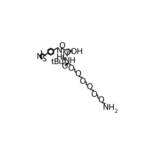 Cc1ncsc1-c1ccc(CNC(=O)C2C[C@@H](O)CN2C[C@@H](NC(=O)COCCOCCOCCOCCOCCOCCN)C(C)(C)C)cc1